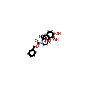 O=C(OCc1ccccc1)N1CC[C@]23CCCC[C@H]2[C@H]1Cc1ccc(O)c(O)c13